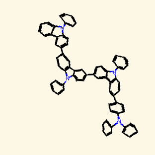 c1ccc(N(c2ccccc2)c2ccc(-c3ccc4c(c3)c3cc(-c5ccc6c(c5)c5cc(-c7ccc8c(c7)c7ccccc7n8-c7ccccc7)ccc5n6-c5ccccc5)ccc3n4-c3ccccc3)cc2)cc1